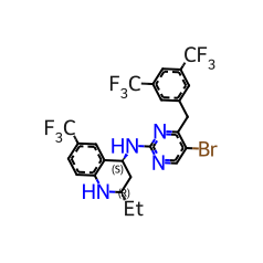 CC[C@@H]1C[C@H](Nc2ncc(Br)c(Cc3cc(C(F)(F)F)cc(C(F)(F)F)c3)n2)c2cc(C(F)(F)F)ccc2N1